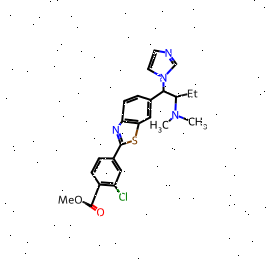 CCC(C(c1ccc2nc(-c3ccc(C(=O)OC)c(Cl)c3)sc2c1)n1ccnc1)N(C)C